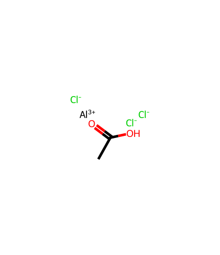 CC(=O)O.[Al+3].[Cl-].[Cl-].[Cl-]